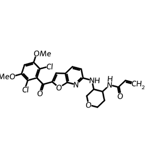 C=CC(=O)NC1CCOCC1Nc1ccc2cc(C(=O)c3c(Cl)c(OC)cc(OC)c3Cl)oc2n1